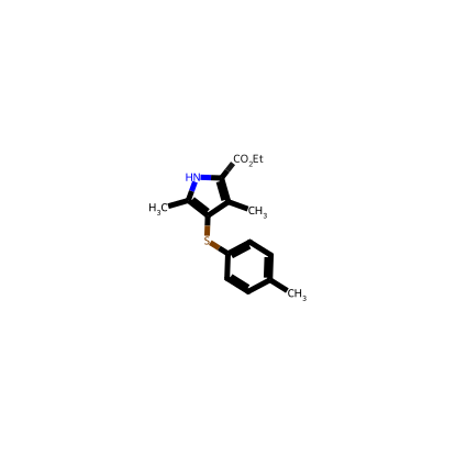 CCOC(=O)c1[nH]c(C)c(Sc2ccc(C)cc2)c1C